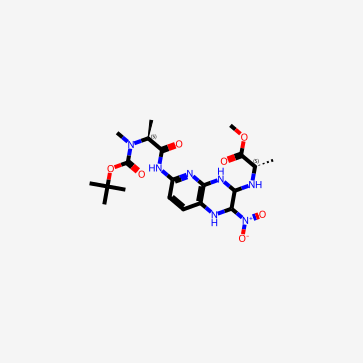 COC(=O)[C@H](C)NC1Nc2nc(NC(=O)[C@H](C)N(C)C(=O)OC(C)(C)C)ccc2NC1[N+](=O)[O-]